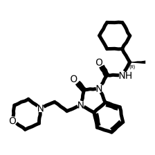 C[C@@H](NC(=O)n1c(=O)n(CCN2CCOCC2)c2ccccc21)C1CCCCC1